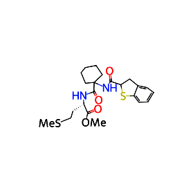 COC(=O)[C@H](CCSC)NC(=O)C1(NC(=O)C2Cc3ccccc3S2)CCCCC1